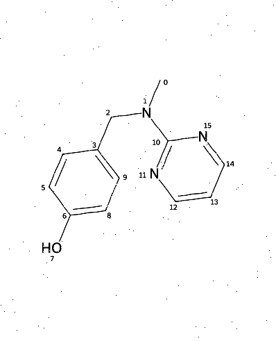 CN(Cc1ccc(O)cc1)c1ncccn1